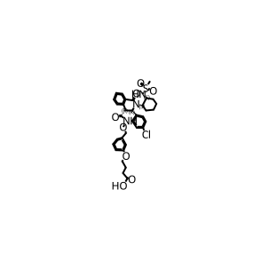 CS(=O)(=O)N[C@H]1CCCC[C@@H]1N1C(=O)c2ccccc2[C@@H](C(=O)NOCc2cccc(OCCCC(=O)O)c2)[C@@H]1c1ccc(Cl)cc1